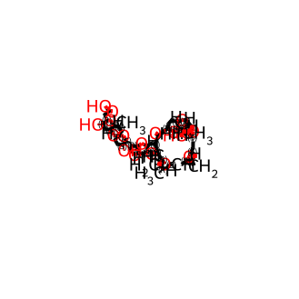 C=C1C[C@@H]2CC[C@@]34OC(C3CO)[C@@H]3O[C@H]5CC[C@H](CC(=O)C[C@@H]6CC7OC8[C@H](C[C@@H]9O[C@@]%10(CC[C@@H]9O)C[C@H](C)[C@@H]9O[C@H](CC(=O)O)[C@H](O)C[C@@H]9O%10)CO[C@@H]8C[C@@H]7O[C@H]6C[C@H]6O[C@@H](CC[C@@H]1O2)C[C@@H](C)C6=C)O[C@@H]5[C@H](O4)[C@@H]3C